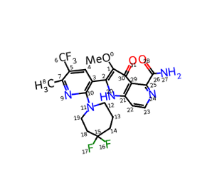 COc1c(-c2cc(C(F)(F)F)c(C)nc2N2CCCC(F)(F)CC2)[nH]c2ccnc(C(N)=O)c2c1=O